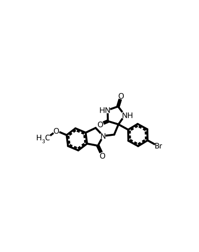 COc1ccc2c(c1)CN(CC1(c3ccc(Br)cc3)NC(=O)NC1=O)C2=O